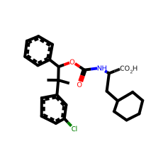 CC(C)(c1cccc(Cl)c1)C(OC(=O)NC(CC1CCCCC1)C(=O)O)c1ccccc1